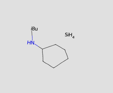 CCC(C)NC1CCCCC1.[SiH4]